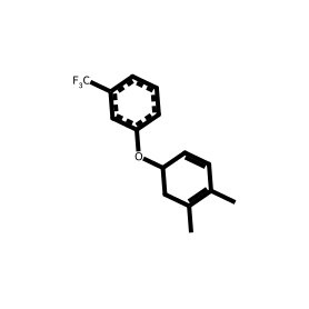 CC1=C(C)CC(Oc2cccc(C(F)(F)F)c2)C=C1